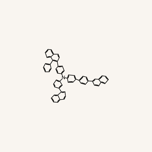 c1ccc(-c2c(-c3ccc(N(c4ccc(-c5ccc(-c6ccc7ccccc7c6)cc5)cc4)c4cccc(-c5cccc6ccccc56)c4)cc3)ccc3ccccc23)cc1